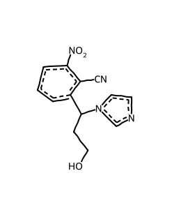 N#Cc1c(C(CCO)n2ccnc2)cccc1[N+](=O)[O-]